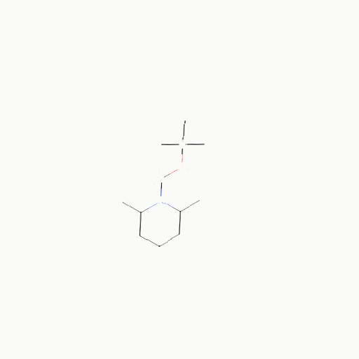 CC1CCCC(C)N1[SiH2]O[Si](C)(C)C